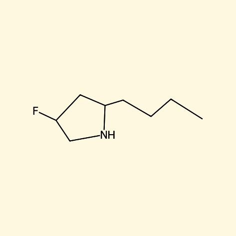 CCCCC1CC(F)CN1